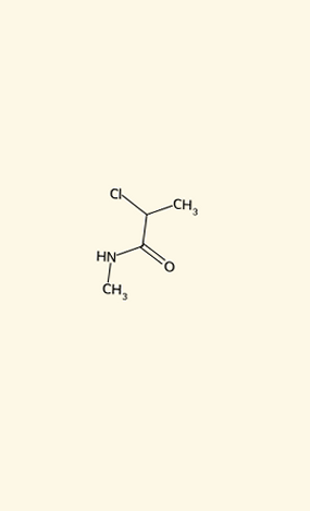 CNC(=O)C(C)Cl